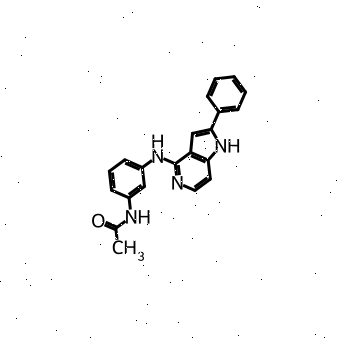 CC(=O)Nc1cccc(Nc2nccc3[nH]c(-c4ccccc4)cc23)c1